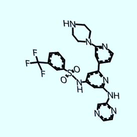 O=S(=O)(Nc1cc(Nc2cnccn2)nc(-c2ccnc(N3CCNCC3)c2)c1)c1cccc(C(F)(F)F)c1